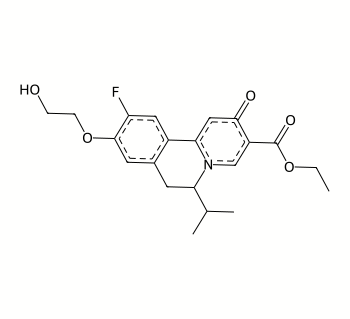 CCOC(=O)c1cn2c(cc1=O)-c1cc(F)c(OCCO)cc1CC2C(C)C